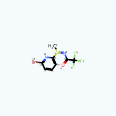 C/S(=N/C(=O)C(F)(F)F)c1cccc(Br)n1